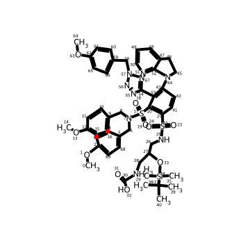 COc1ccc(CN(Cc2ccc(OC)cc2)S(=O)(=O)c2c(S(=O)(=O)NCC(CNC(=O)O)O[Si](C)(C)C(C)(C)C)ccc(N3CCc4cccnc43)c2-c2nnn(Cc3ccc(OC)cc3)n2)cc1